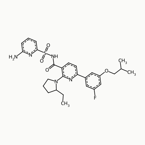 CCC1CCCN1c1nc(-c2cc(F)cc(OCC(C)C)c2)ccc1C(=O)NS(=O)(=O)c1cccc(N)n1